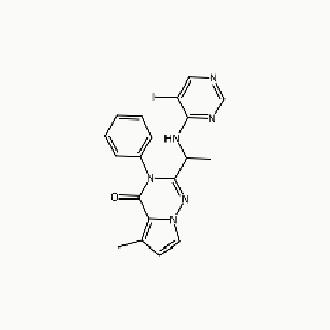 Cc1ccn2nc(C(C)Nc3ncncc3I)n(-c3ccccc3)c(=O)c12